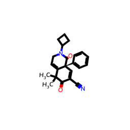 CC1(C)C(=O)C(C#N)=C[C@@]2(c3ccccc3)C(=O)N(C3CCC3)CC=C12